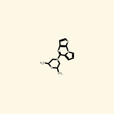 CC1CN(c2nc3ccsc3n3cccc23)CC(C)O1